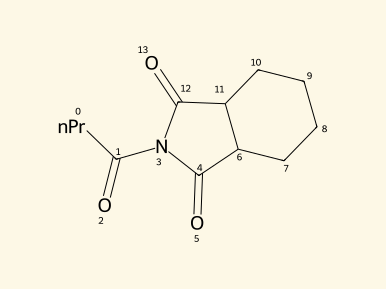 CCCC(=O)N1C(=O)C2CCCCC2C1=O